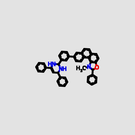 CN1c2c(ccc3ccc4cc(-c5cccc(C6NC(c7ccccc7)=CC(c7ccccc7)N6)c5)ccc4c23)OC1c1ccccc1